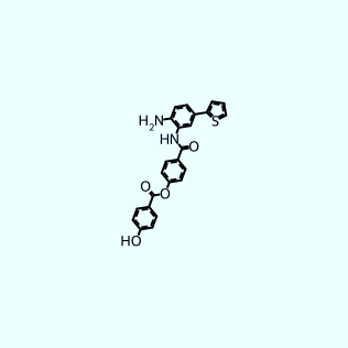 Nc1ccc(-c2cccs2)cc1NC(=O)c1ccc(OC(=O)c2ccc(O)cc2)cc1